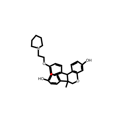 CC1(c2ccc(O)cc2)COc2cc(O)ccc2C1c1ccc(OCCN2CCCCC2)cc1